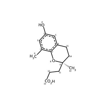 Cc1cc(O)cc2c1O[C@](C)(CCC(=O)O)CC2